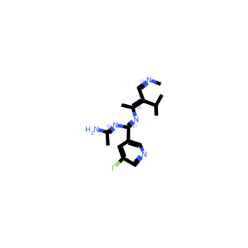 C\N=C/C(=C(C)/N=C(\N=C(/C)N)c1cncc(F)c1)C(C)C